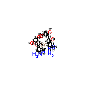 COc1ccc(OC)c(/C=C(/Br)C(=O)c2ccc(N)c(N(C)C)c2)c1.COc1ccc(OC)c(/C=C(\C)C(=O)c2ccc(N)c(N(C)C)c2)c1